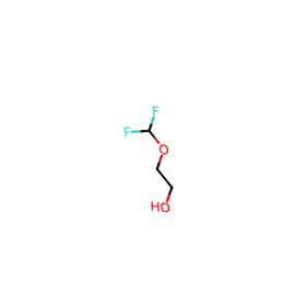 OCCOC(F)F